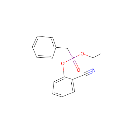 CCOP(=O)(Cc1ccccc1)Oc1ccccc1C#N